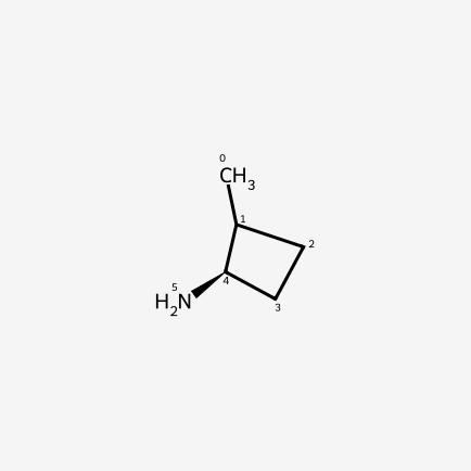 CC1CC[C@H]1N